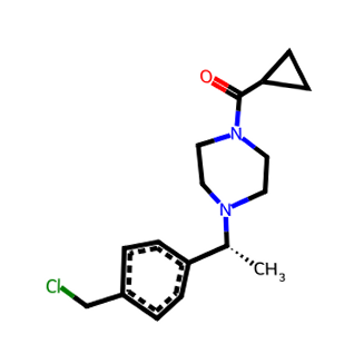 C[C@H](c1ccc(CCl)cc1)N1CCN(C(=O)C2CC2)CC1